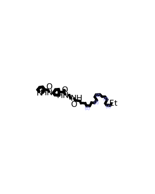 CC/C=C\C/C=C\C/C=C\C/C=C\C/C=C\CCCC(=O)NCCNC(=O)c1ccc(NC(=O)c2cccnc2)cc1